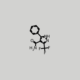 NC(=O)c1c(C(F)(F)F)n[nH]c1-c1ccccc1